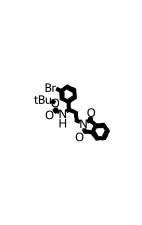 CC(C)(C)OC(=O)NC(CCN1C(=O)c2ccccc2C1=O)c1cccc(Br)c1